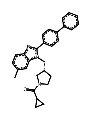 Cc1ccc2nc(-c3ccc(-c4ccccc4)cc3)n(C[C@@H]3CCN(C(=O)C4CC4)C3)c2c1